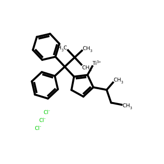 CCC(C)C1=CCC(C(c2ccccc2)(c2ccccc2)C(C)(C)C)=[C]1[Ti+3].[Cl-].[Cl-].[Cl-]